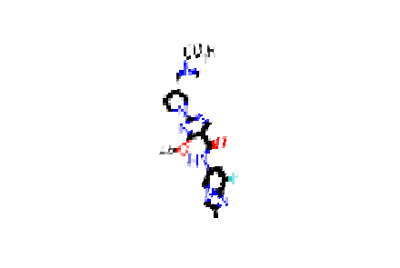 CCOc1nc(N2CC[C@H](CN(C)C(=O)O)C2)ncc1C(=O)Nc1cc(F)c2nc(C)cn2c1